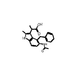 CC(=O)Nc1ccc2[nH]c(C)c(C(C)C(=O)O)c2c1Cc1ccccc1